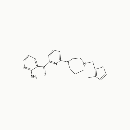 Cc1ccsc1CN1CCCN(c2cccc(C(=O)c3cccnc3N)n2)CC1